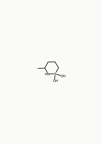 [CH2]C1CCCS(O)(O)N1